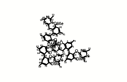 COc1cc(C)cc(-c2cc(C)cc(OC)c2Oc2nc(C)nc(C)n2)c1Cc1nc(Oc2c(OC)cc(C)cc2-c2cc(C)cc(OC)c2Cc2nc(C)nc(C)n2)nc(Oc2c(OC)cc(C)cc2-c2cc(C)cc(OC)c2Oc2nc(C)nc(C)n2)n1